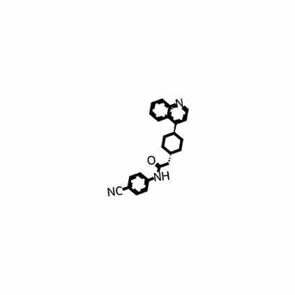 N#Cc1ccc(NC(=O)C[C@H]2CC[C@H](c3ccnc4ccccc43)CC2)cc1